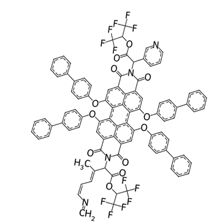 C=N/C=C\C=C(/C)C(C(=O)OC(C(F)(F)F)C(F)(F)F)N1C(=O)c2cc(Oc3ccc(-c4ccccc4)cc3)c3c4c(Oc5ccc(-c6ccccc6)cc5)cc5c6c(cc(Oc7ccc(-c8ccccc8)cc7)c(c7c(Oc8ccc(-c9ccccc9)cc8)cc(c2c37)C1=O)c64)C(=O)N(C(C(=O)OC(C(F)(F)F)C(F)(F)F)c1cccnc1)C5=O